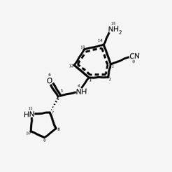 N#Cc1cc(NC(=O)[C@@H]2CCCN2)ccc1N